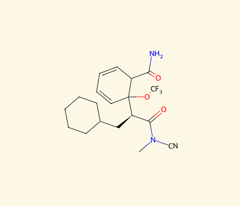 CN(C#N)C(=O)[C@@H](CC1CCCCC1)C1(OC(F)(F)F)C=CC=CC1C(N)=O